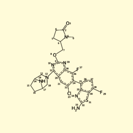 CN1C(=O)CCC1COc1nc(N2CC3CCC(C2)N3)c2cc(Cl)c(-c3ccc(F)c4sc(N)nc34)c(F)c2n1